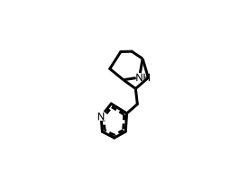 c1cncc(CC2CC3CCCC2N3)c1